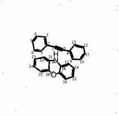 C(#Cc1ccccc1)c1ccccc1.c1ccc2c(c1)Nc1ccccc1O2